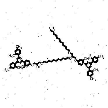 CCCCCCCCCCCCCOCC(COc1ccc(-c2nc(-c3ccc(C)cc3C)nc(-c3ccc(C)cc3C)n2)c(O)c1)OCCCCCCCCCCCOCC(O)COc1ccc(-c2nc(-c3ccc(C)cc3C)nc(-c3ccc(C)cc3C)n2)c(O)c1